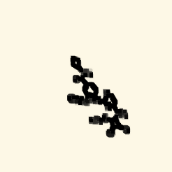 CCCSc1c(Nc2ccnc(Nc3ccc(C(=O)NC4CCC4)cc3OC)n2)c(=O)c1=O